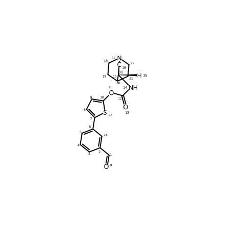 O=Cc1cccc(-c2ccc(OC(=O)N[C@H]3CN4CCC3CC4)s2)c1